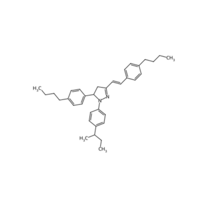 CCCCc1ccc(C=CC2=NN(c3ccc(C(C)CC)cc3)C(c3ccc(CCCC)cc3)C2)cc1